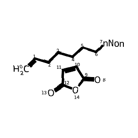 C=CCCCCCCCCCCCCCC.O=C1C=CC(=O)O1